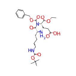 CCOC(=O)[C@@H](CCC(=O)O)N(C(=O)OCc1ccccc1)C(=O)[C@@H](N)CCCCNC(=O)OC(C)(C)C